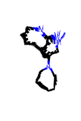 C1=CCN(c2c[nH]c3ncccc23)CC1